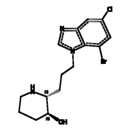 O[C@H]1CCCN[C@@H]1CCCn1cnc2cc(Cl)cc(Br)c21